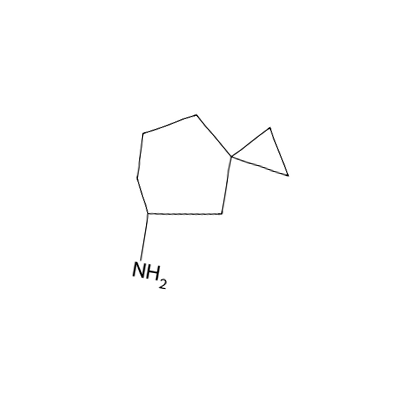 NC1CCCC2(CC2)C1